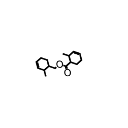 CC1C=CCCC1COC(=O)C1CCC=CC1C